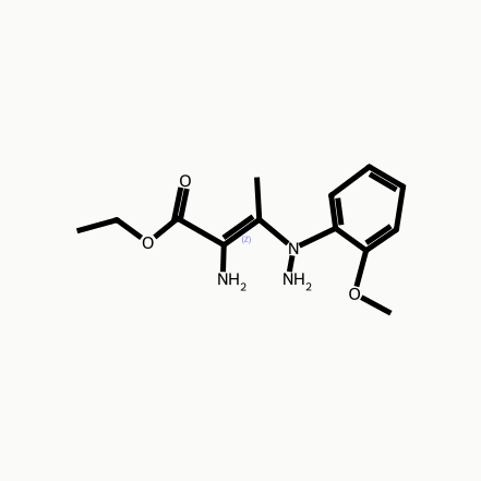 CCOC(=O)/C(N)=C(\C)N(N)c1ccccc1OC